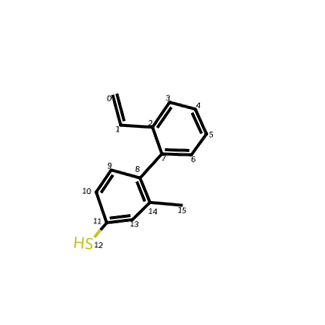 C=Cc1ccccc1-c1ccc(S)cc1C